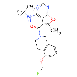 Cc1oc2ncnc(NC3(C)CC3)c2c1C(=O)N1CCc2c(cccc2OCF)C1